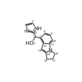 OC(c1ncc[nH]1)c1cccc2c1cc1n2CCC1